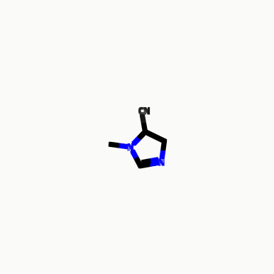 CN1C=NCC1C#N